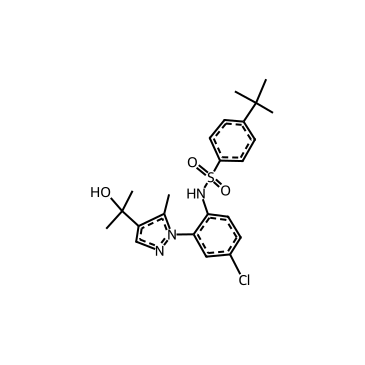 Cc1c(C(C)(C)O)cnn1-c1cc(Cl)ccc1NS(=O)(=O)c1ccc(C(C)(C)C)cc1